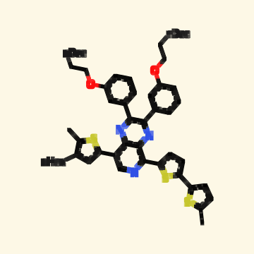 CCCCCCCCCCCCOc1cccc(-c2nc3c(-c4cc(CCCCCC)c(C)s4)cnc(-c4ccc(-c5ccc(C)s5)s4)c3nc2-c2cccc(OCCCCCCCCCCCC)c2)c1